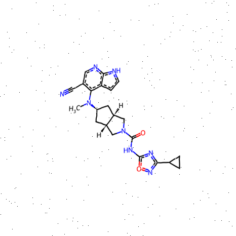 CN(c1c(C#N)cnc2[nH]ccc12)[C@H]1C[C@@H]2CN(C(=O)Nc3nc(C4CC4)no3)C[C@@H]2C1